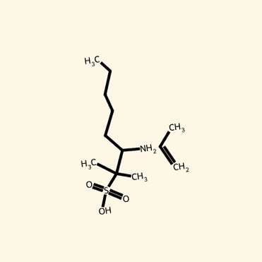 C=CC.CCCCCC(N)C(C)(C)S(=O)(=O)O